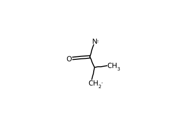 [CH2]C(C)C([N])=O